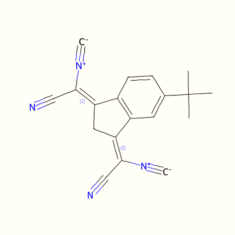 [C-]#[N+]/C(C#N)=C1/C/C(=C(\C#N)[N+]#[C-])c2cc(C(C)(C)C)ccc21